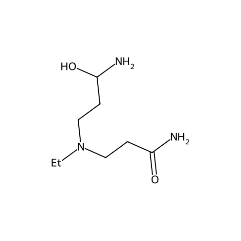 CCN(CCC(N)=O)CCC(N)O